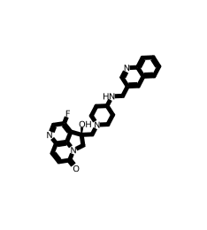 O=c1ccc2ncc(F)c3c2n1C[C@@]3(O)CN1CCC(NCc2cnc3ccccc3c2)CC1